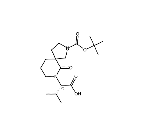 CC(C)[C@@H](C(=O)O)N1CCCC2(CCN(C(=O)OC(C)(C)C)C2)C1=O